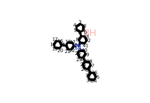 B1c2ccccc2-c2cc(N(c3ccc(-c4ccccc4)cc3)c3ccc(-c4ccc(-c5ccccc5)cc4)cc3)ccc21